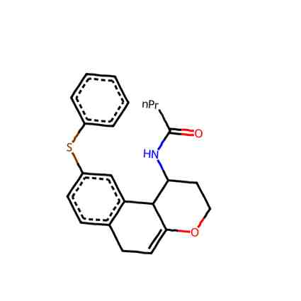 CCCC(=O)NC1CCOC2=CCc3ccc(Sc4ccccc4)cc3C21